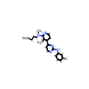 CNCCCN(C)c1nccc(-c2ccnc(Nc3cccc(Cl)c3)n2)c1C